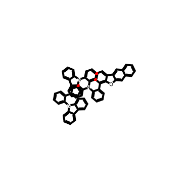 c1ccc(N(c2ccc(-c3ccccc3-n3c4ccccc4c4ccccc43)cc2)c2ccccc2-n2c3ccccc3c3ccccc32)c(-c2cccc3c2oc2cc4ccccc4cc23)c1